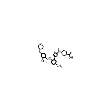 Cc1ccc(OCc2ccc(CN3CCOCC3)cc2C)c(-c2csc(NC3CCC(C(=O)O)CC3)n2)c1